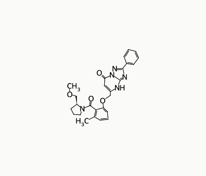 COC[C@@H]1CCCN1C(=O)c1c(C)cccc1OCc1cc(=O)n2nc(-c3ccccc3)nc2[nH]1